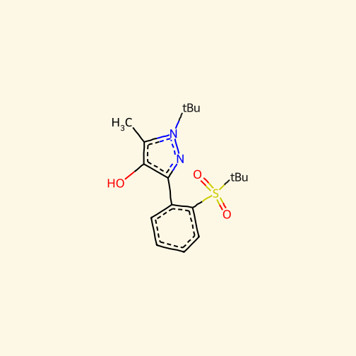 Cc1c(O)c(-c2ccccc2S(=O)(=O)C(C)(C)C)nn1C(C)(C)C